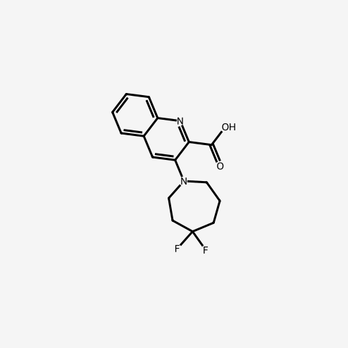 O=C(O)c1nc2ccccc2cc1N1CCCC(F)(F)CC1